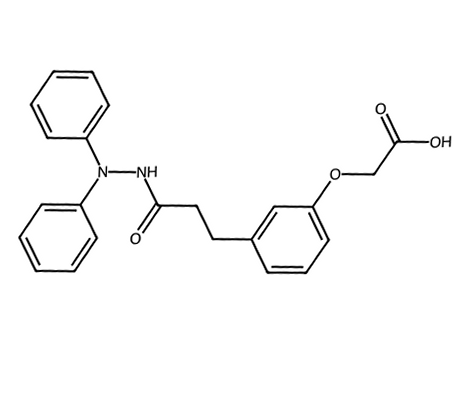 O=C(O)COc1cccc(CCC(=O)NN(c2ccccc2)c2ccccc2)c1